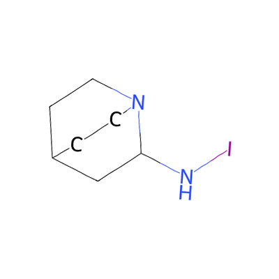 INC1CC2CCN1CC2